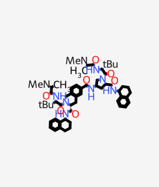 CN[C@@H](C)C(=O)NC(C(=O)N1CC(NC(=O)c2ccc3c(c2)C[C@H](C(=O)NC2CCCc4ccccc42)N(C(=O)C(NC(=O)[C@H](C)NC)C(C)(C)C)C3)CC1C(=O)NC1CCCc2ccccc21)C(C)(C)C